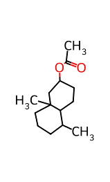 CC(=O)OC1CCC2C(C)CCCC2(C)C1